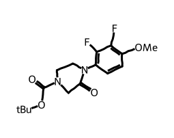 COc1ccc(N2CCN(C(=O)OC(C)(C)C)CC2=O)c(F)c1F